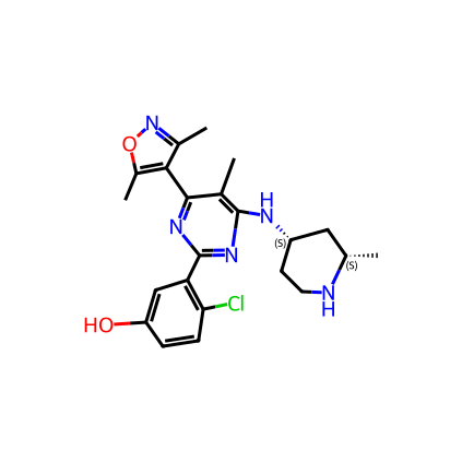 Cc1noc(C)c1-c1nc(-c2cc(O)ccc2Cl)nc(N[C@H]2CCN[C@@H](C)C2)c1C